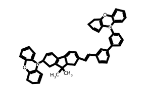 CC1(C)C2=C(C=CC(N3C4=C(CCC=C4)Oc4ccccc43)C2)C2=CC=C(/C=C/c3cccc(-c4cccc(N5C6=C(CCC=C6)Oc6ccccc65)c4)c3)CC21